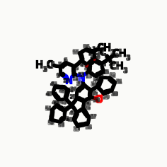 Cc1ccc(-c2cc(C)cnc2N(c2ccc(C(C)(C)C)cc2)c2cc3c(c4oc5ccccc5c24)-c2ccccc2C3(c2ccccc2)c2ccccc2)cc1